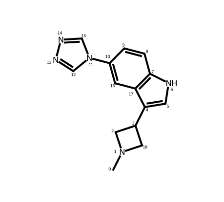 CN1CC(c2c[nH]c3ccc(-n4cnnc4)cc23)C1